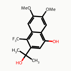 COc1cc2c(O)cc(C(C)(C)O)c(C(F)(F)F)c2cc1OC